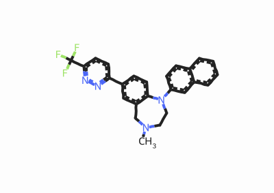 CN1CCN(c2ccc3ccccc3c2)c2ccc(-c3ccc(C(F)(F)F)nn3)cc2C1